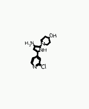 Nc1cc(-c2ccnc(Cl)c2)[nH]c1N1CCC(O)CC1